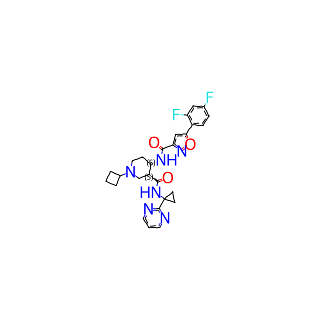 O=C(N[C@H]1CCN(C2CCC2)C[C@@H]1C(=O)NC1(c2ncccn2)CC1)c1cc(-c2ccc(F)cc2F)on1